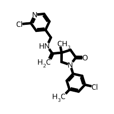 C=C(NCc1ccnc(Cl)c1)C1(C)CC(=O)N(c2cc(C)cc(Cl)c2)C1